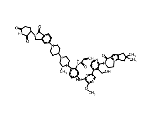 C=CC(=O)Nc1cc(Nc2nc(-c3ccnc(N4CCn5c(cc6c5CC(C)(C)C6)C4=O)c3CO)cnc2OC)ccc1N1CCN(C2CCN(c3ccc4c(c3)CN(C3CCC(=O)NC3=O)C4=O)CC2)C[C@@H]1C